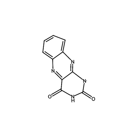 O=C1[N]c2nc3ccccc3nc2C(=O)N1